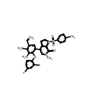 C=Cc1cc(-c2cn(C)c(=O)c3c2ccn3S(=O)(=O)c2ccc(C)cc2)c(Oc2ccc(F)cc2F)c(N)c1N